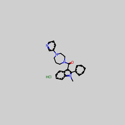 Cl.Cn1c(-c2ccccc2)c(C(=O)N2CCCN(c3cccnc3)CC2)c2ccccc21